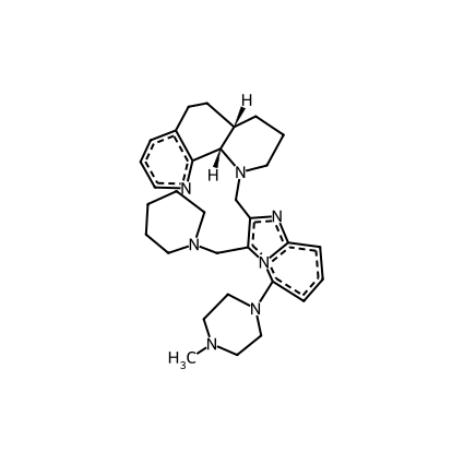 CN1CCN(c2cccc3nc(CN4CCC[C@H]5CCc6cccnc6[C@H]54)c(CN4CCCCC4)n23)CC1